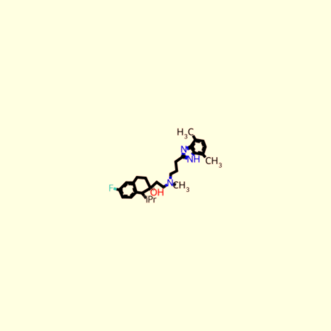 Cc1ccc(C)c2[nH]c(CCCN(C)CC[C@@]3(O)CCc4cc(F)ccc4C3C(C)C)nc12